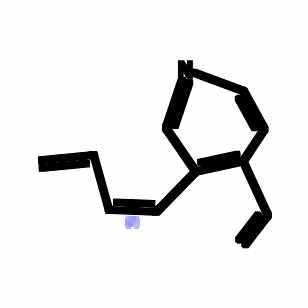 C=C/C=C\c1cnccc1C=C